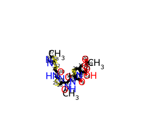 CON=C(C(=O)N[C@H]1C(=O)N2C(C(=O)O)=C(COC(C)=O)CS[C@H]12)c1csc(NC(=O)CSc2nnc(C)s2)n1